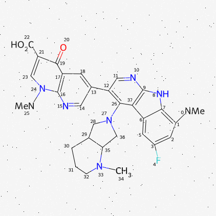 CNc1cc(F)cc2c1[nH]c1ncc(-c3cnc4c(c3)c(=O)c(C(=O)O)cn4NC)c(N3CC4CCCN(C)C4C3)c12